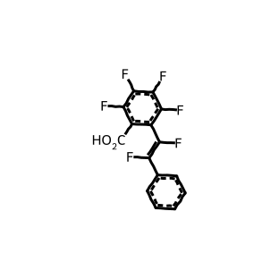 O=C(O)c1c(F)c(F)c(F)c(F)c1C(F)=C(F)c1ccccc1